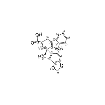 C[C@@]1(c2ccc3c(c2)OCO3)N[C@@H](C(=O)O)Cc2c1[nH]c1ccccc21